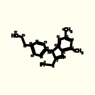 Cc1cc(C)c2nc(CC(C)C)n(-c3ccc(CCO)cc3)c2n1